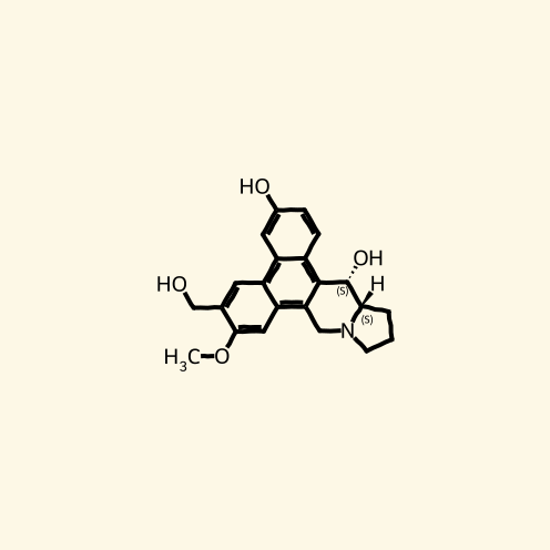 COc1cc2c3c(c4ccc(O)cc4c2cc1CO)[C@H](O)[C@@H]1CCCN1C3